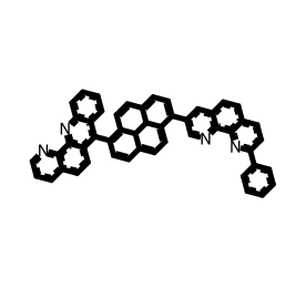 C1=CC2=C(c3c4ccccc4nc4c3ccc3cccnc34)C=CC3=CC=C4C(c5cnc6c(ccc7ccc(-c8ccccc8)nc76)c5)=CC=C1C4C32